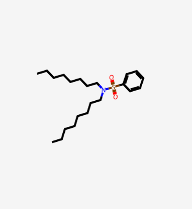 CCCCCCCCN(CCCCCCCC)S(=O)(=O)c1ccccc1